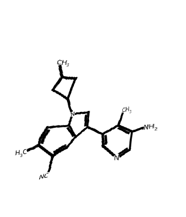 Cc1cc2c(cc1C#N)c(-c1cncc(N)c1C)cn2C1CC(C)C1